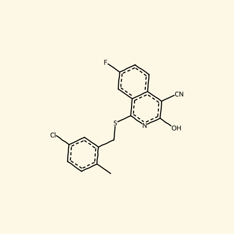 Cc1ccc(Cl)cc1CSc1nc(O)c(C#N)c2ccc(F)cc12